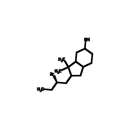 CC[C@@H](Br)CC1CC2CCC(O)CC2C1(C)C